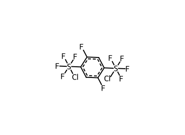 Fc1cc(S(F)(F)(F)(F)Cl)c(F)cc1S(F)(F)(F)(F)Cl